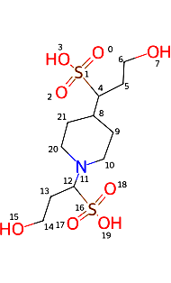 O=S(=O)(O)C(CCO)C1CCN(C(CCO)S(=O)(=O)O)CC1